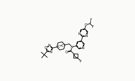 CC(C)(C)c1nc(C23CCC(CN(C(=O)C45CC(F)(C4)C5)c4cncc(-c5ncc(OC(F)F)cn5)c4)(CC2)CC3)no1